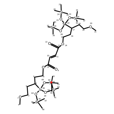 COCCC(CCOC(=O)/C=C/C(=O)OCCC(CCOC)[Si](O[Si](C)(C)C)(O[Si](C)(C)C)O[Si](C)(C)C)[Si](O[Si](C)(C)C)(O[Si](C)(C)C)O[Si](C)(C)C